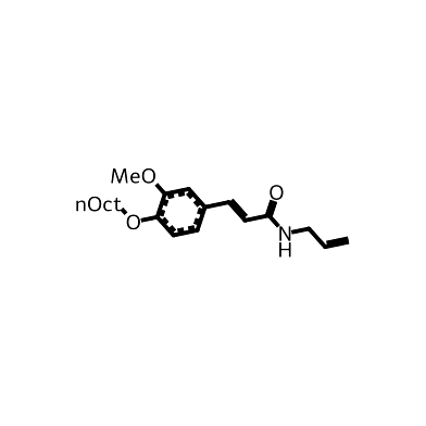 C=CCNC(=O)C=Cc1ccc(OCCCCCCCC)c(OC)c1